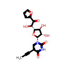 CC#Cc1cn([C@@H]2O[C@H](C(O)C(=O)c3ccco3)[C@@H](O)[C@@H]2O)c(=O)[nH]c1=O